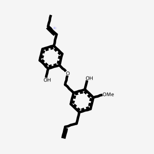 C=CCc1cc(COc2cc(/C=C/C)ccc2O)c(O)c(OC)c1